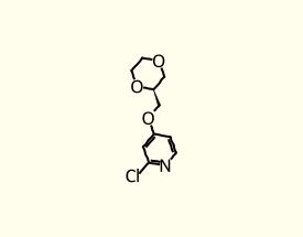 Clc1cc(OC[C@@H]2COCCO2)ccn1